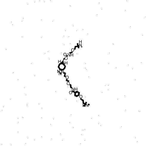 CNC(C)(C)CCCOc1ccc(C(=O)NCCOCCOCCn2nnc3c2CC[C@H]2[C@@H](CC3)[C@H]2COC(=O)NCCOCCC(C)(C)NC)cc1